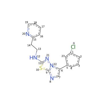 Clc1cccc(-c2cnc3sc(NCCc4ccccn4)nn23)c1